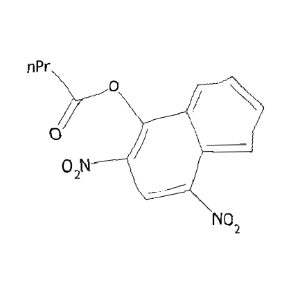 CCCC(=O)Oc1c([N+](=O)[O-])cc([N+](=O)[O-])c2ccccc12